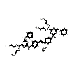 OCCON(OCCO)c1nc(Nc2ccccc2)nc(Nc2ccc(C=Cc3ccc(Nc4nc(Nc5ccccc5)nc(N(OCCO)OCCO)n4)cc3)cc2)n1.[NaH].[NaH]